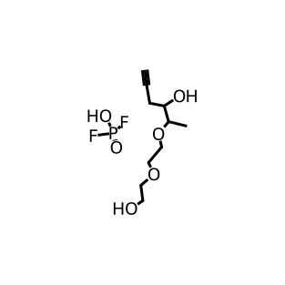 C#CCC(O)C(C)OCCOCCO.O=P(O)(F)F